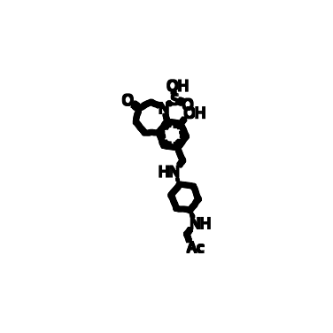 CC(=O)CN[C@H]1CC[C@H](NCc2cc(O)c3c(c2)CCC(=O)CN3S(=O)O)CC1